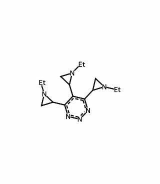 CCN1CC1c1nnnc(C2CN2CC)c1C1CN1CC